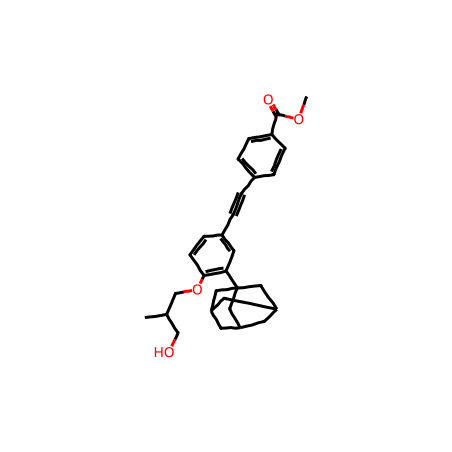 COC(=O)c1ccc(C#Cc2ccc(OCC(C)CO)c(C34CC5CC(CC(C5)C3)C4)c2)cc1